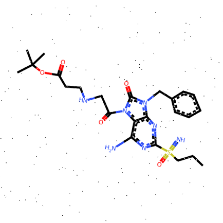 CCCS(=N)(=O)c1nc(N)c2c(n1)n(Cc1ccccc1)c(=O)n2C(=O)CNCCC(=O)OC(C)(C)C